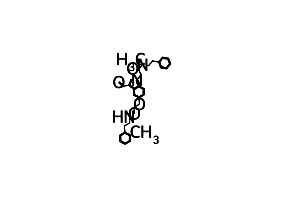 Cc1ccccc1CCNOCOc1ccc2c(c1)c(C=O)cn2CC(=O)N(C)CCc1ccccc1